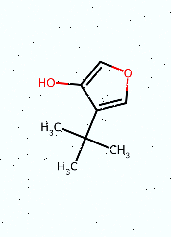 CC(C)(C)c1cocc1O